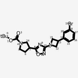 CC(C)(C)OC(=O)N1CCC(c2nc(N3CC(c4cccc(Br)c4)C3)no2)C1